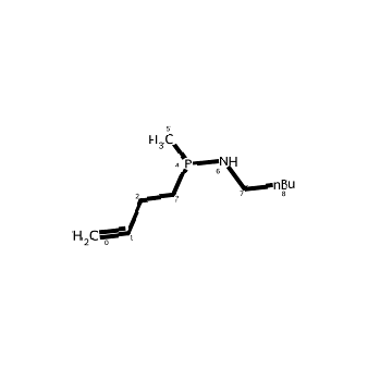 C=CCCP(C)NCCCCC